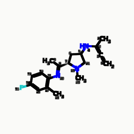 C=C=C(C)NC1C[C@@H](/C(C)=N/c2ccc(F)cc2C)N(C)C1